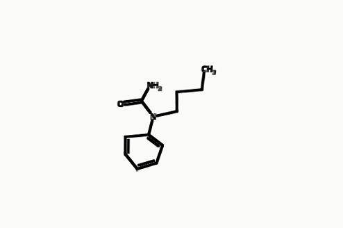 CCCCN(C(N)=O)c1cc[c]cc1